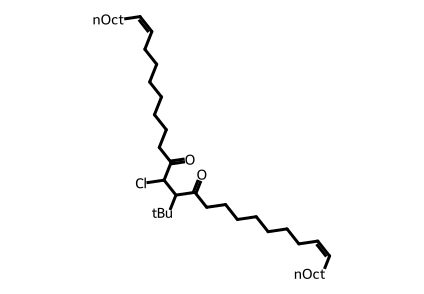 CCCCCCCC/C=C\CCCCCCCC(=O)C(Cl)C(C(=O)CCCCCCC/C=C\CCCCCCCC)C(C)(C)C